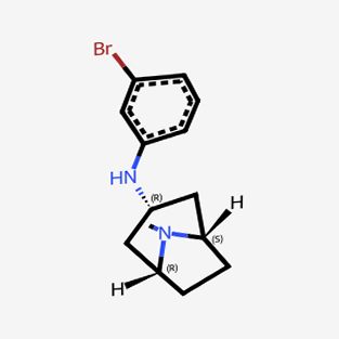 CN1[C@@H]2CC[C@H]1C[C@@H](Nc1cccc(Br)c1)C2